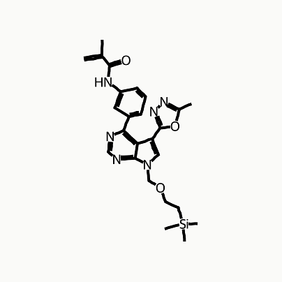 C=C(C)C(=O)Nc1cccc(-c2ncnc3c2c(-c2nnc(C)o2)cn3COCC[Si](C)(C)C)c1